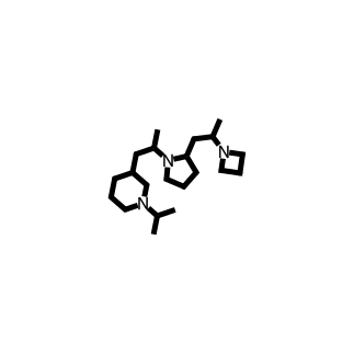 CC(C)N1CCCC(CC(C)N2CCCC2CC(C)N2CCC2)C1